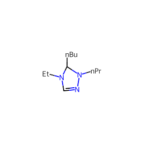 CCCCC1N(CC)C=NN1CCC